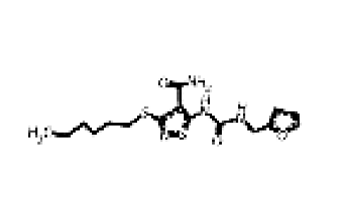 CCCCCCSc1nsc(NC(=O)NCc2ccco2)c1C(N)=O